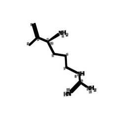 C=C(C)[C@@H](N)CCCNC(=N)N